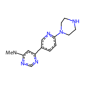 CNc1cc(-c2ccc(N3CCNCC3)nc2)ncn1